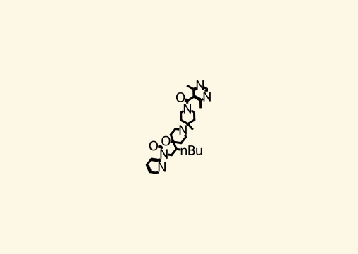 CCCCC1CN(c2ccccn2)C(=O)OC12CCN(C1(C)CCN(C(=O)c3c(C)ncnc3C)CC1)CC2